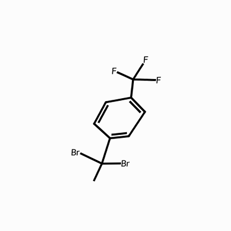 CC(Br)(Br)c1ccc(C(F)(F)F)cc1